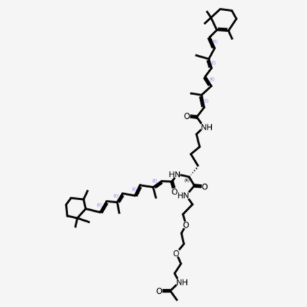 CC(=O)NCCOCCOCCNC(=O)[C@@H](CCCCNC(=O)/C=C(C)/C=C/C=C(C)/C=C/C1=C(C)CCCC1(C)C)NC(=O)/C=C(C)/C=C/C=C(C)/C=C/C1C(C)CCCC1(C)C